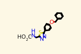 O=C(O)NCc1nnc(-c2ccc(OCc3ccccc3)cc2)s1